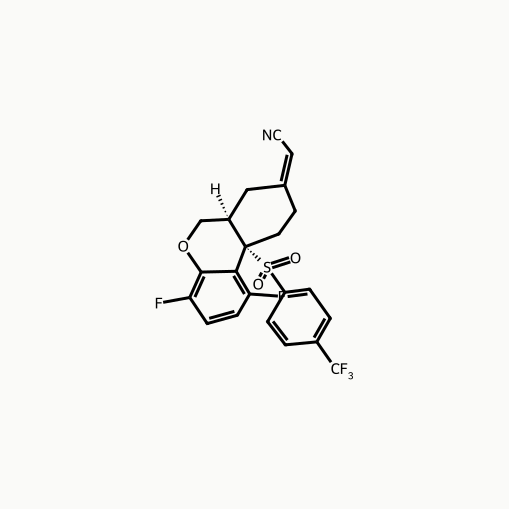 N#C/C=C1/CC[C@@]2(S(=O)(=O)c3ccc(C(F)(F)F)cc3)c3c(F)ccc(F)c3OC[C@H]2C1